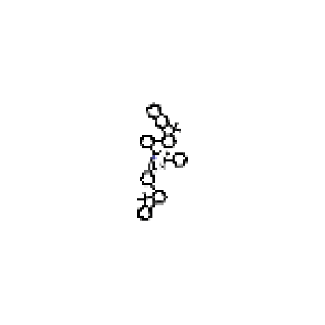 CC1(C)c2cc3ccccc3cc2-c2c(-c3ccccc3/C(=C/Cc3cccc(-c4cccc5c4C(C)(C)c4ccccc4-5)c3)NC(N)c3ccccc3)cccc21